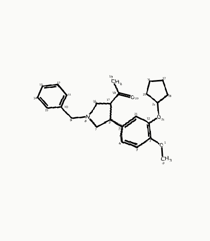 COc1ccc(C2CN(Cc3ccccc3)CC2C(C)=O)cc1OC1CCCC1